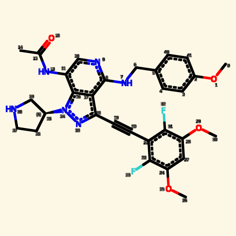 COc1ccc(CNc2ncc(NC(C)=O)c3c2c(C#Cc2c(F)c(OC)cc(OC)c2F)nn3[C@H]2CCNC2)cc1